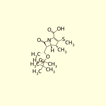 CSC1=C(C(=O)O)N2C(=O)[C@H]([C@@H](C)O[Si](C)(C)C(C)(C)C)[C@H]2[C@@H]1C